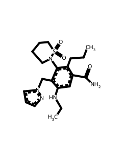 CCCc1c(C(N)=O)cc(NCC)c(Cn2cccn2)c1N1CCCCS1(=O)=O